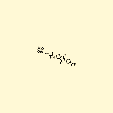 CC(C)(C)S(=O)(=O)NCCCCC(=O)Nc1ccc2c(c1)C(=O)N(c1ccc(C(F)(F)F)cc1)C2=O